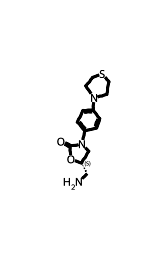 NC[C@H]1CN(c2ccc(N3CCSCC3)cc2)C(=O)O1